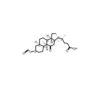 C[C@H](CCC(=O)O)[C@H]1CC[C@H]2[C@@H]3CC[C@@H]4C[C@H](OC=O)CC[C@]4(C)[C@H]3C(=O)C[C@]12C